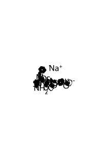 Nc1nc(/C(=N/OCc2ccccc2)C(=O)NC2C(=O)N3C(C(=O)[O-])=C(CSc4cc[n+](CC(=O)[O-])cc4)CS[C@H]23)cs1.[Na+]